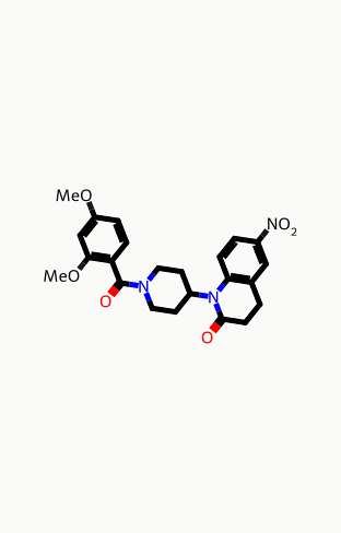 COc1ccc(C(=O)N2CCC(N3C(=O)CCc4cc([N+](=O)[O-])ccc43)CC2)c(OC)c1